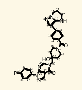 O=C(c1ccc(-c2cnn3c2NCCC3)cc1)N1CCC(O)(Cn2cnc3c(cnn3-c3ccc(F)cc3)c2=O)CC1